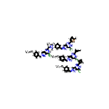 COc1ccc(Cn2cc3nc(-c4ccc(C)s4)nc(Cl)c3n2)cc1.COc1ccc(Cn2cc3nc(C4CC4C)nc(Cl)c3n2)cc1.COc1ccc(Cn2cc3nc(C4CCC4)nc(Cl)c3n2)cc1.COc1ccc(Cn2cc3nc(CN(C)C)nc(Cl)c3n2)cc1